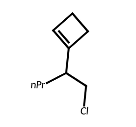 CCCC(CCl)C1=CCC1